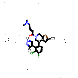 CCn1cc(-c2c(C3CN(C(=O)/C=C/CN(C)C)Cc4sc(C#N)cc43)ccc(F)c2Cl)c(C(F)(F)F)n1